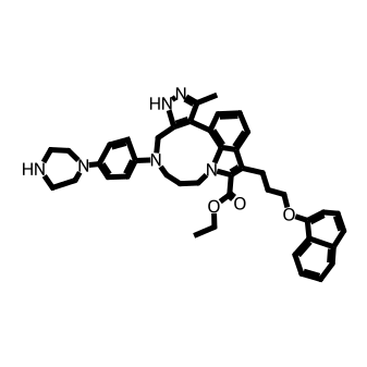 CCOC(=O)c1c(CCCOc2cccc3ccccc23)c2cccc3c2n1CCCN(c1ccc(N2CCNCC2)cc1)Cc1[nH]nc(C)c1-3